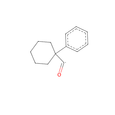 O=[C]C1(c2ccccc2)CCCCC1